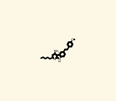 CCCCCc1cc(N)c2c(n1)[nH]c1ccc(C=Cc3ccc(OC)cc3)cc12